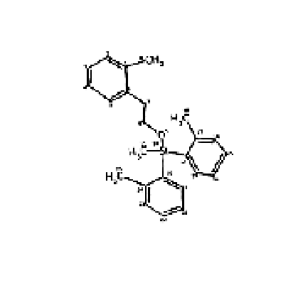 Cc1ccccc1CCO[Si](C)(c1ccccc1C)c1ccccc1C